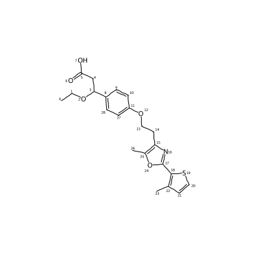 CCOC(CC(=O)O)c1ccc(OCCc2nc(-c3sccc3C)oc2C)cc1